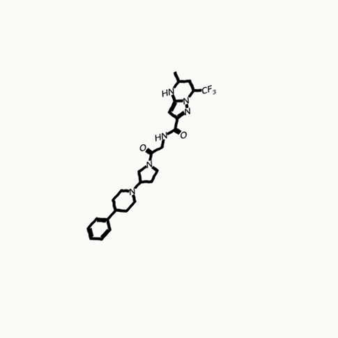 CC1CC(C(F)(F)F)n2nc(C(=O)NCC(=O)N3CCC(N4CCC(c5ccccc5)CC4)C3)cc2N1